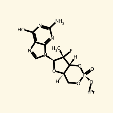 CCCO[P@@]1(=O)OC[C@H]2O[C@@H](n3cnc4c(O)nc(N)nc43)[C@](C)(F)[C@@H]2O1